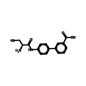 N[C@@H](CS)C(=O)Nc1ccc(-c2cccc(C(=O)O)c2)cc1